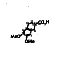 COc1cc2c(cc1OC)CN(C(=O)O)CC2